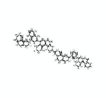 c1ccc2c(c1)ccc1cc(-c3ncnc(-c4ccc5ccc6cc(-c7ccc8c(ccc9cc(-c%10cc(-c%11ccc%12ccc%13cccnc%13c%12n%11)c%11cnccc%11c%10)c%10ccccc%10c98)c7)cnc6c5n4)n3)c3ccccc3c12